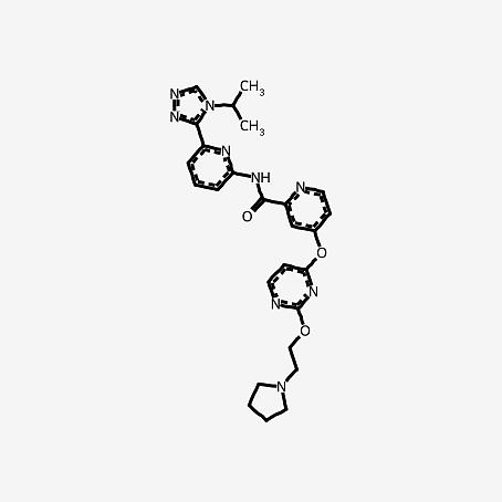 CC(C)n1cnnc1-c1cccc(NC(=O)c2cc(Oc3ccnc(OCCN4CCCC4)n3)ccn2)n1